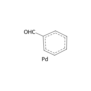 O=Cc1ccccc1.[Pd]